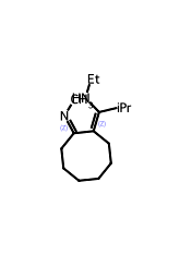 CCN/C(=C1/CCCCCC/C1=N/C)C(C)C